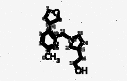 Cc1ccc([C@H]2CCOC2)c(CN2CCC(CCO)C2)n1